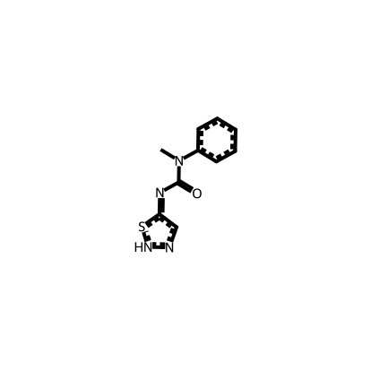 CN(C(=O)N=c1cn[nH]s1)c1ccccc1